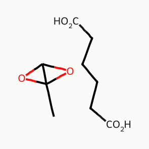 CC12OC1O2.O=C(O)CCCCC(=O)O